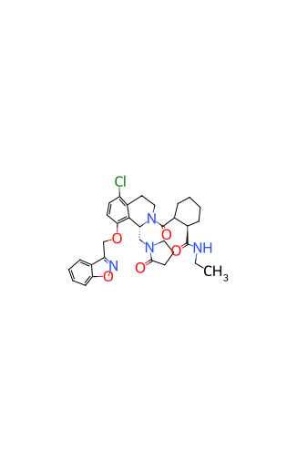 CCNC(=O)[C@@H]1CCCCC1C(=O)N1CCc2c(Cl)ccc(OCc3noc4ccccc34)c2[C@H]1CN1CCCC1=O